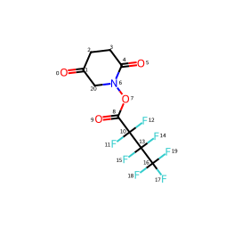 O=C1CCC(=O)N(OC(=O)C(F)(F)C(F)(F)C(F)(F)F)C1